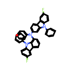 Fc1ccc2c(c1)c1ccc(N(c3ccccc3)c3cccc4c5cc(F)ccc5n(-c5ccccc5)c34)cc1n2-c1ccccc1